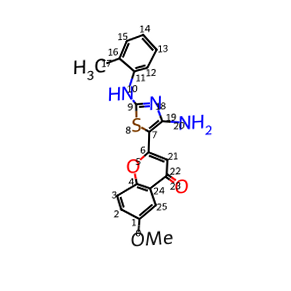 COc1ccc2oc(-c3sc(Nc4ccccc4C)nc3N)cc(=O)c2c1